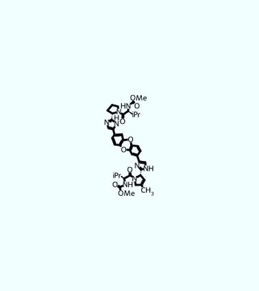 COC(=O)N[C@H](C(=O)N1CC(C)=C[C@H]1c1nc(-c2ccc3c(c2)Oc2ccc(-c4cnc([C@@H]5CCCN5C(=O)[C@@H](NC(=O)OC)C(C)C)[nH]4)cc2O3)c[nH]1)C(C)C